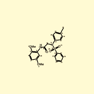 COc1ccc(OC)c(NC(=O)CN(c2ccc(C)cc2)S(=O)(=O)c2ccccc2)c1